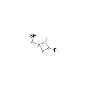 FC1CC(CS)C1